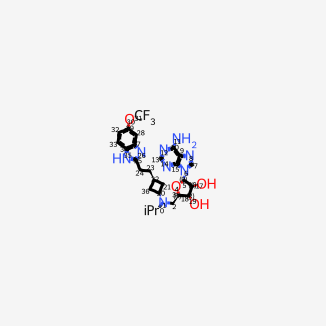 CC(C)N(C[C@H]1O[C@@H](n2cnc3c(N)ncnc32)[C@@H](O)[C@H]1O)[C@H]1C[C@H](CCc2nc3cc(OC(F)(F)F)ccc3[nH]2)C1